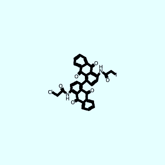 O=C(CCl)Nc1ccc(-c2ccc(NC(=O)CI)c3c2C(=O)c2ccccc2C3=O)c2c1C(=O)c1ccccc1C2=O